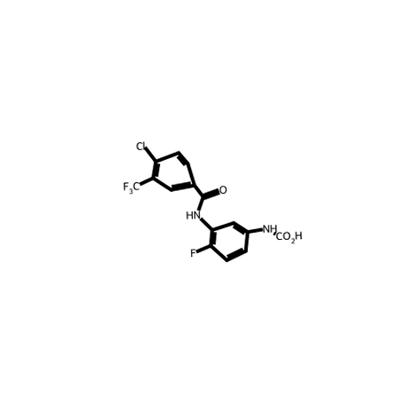 O=C(O)Nc1ccc(F)c(NC(=O)c2ccc(Cl)c(C(F)(F)F)c2)c1